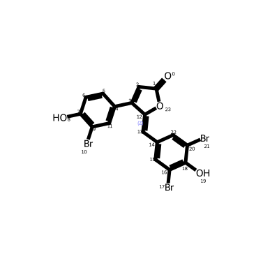 O=C1C=C(c2ccc(O)c(Br)c2)/C(=C/c2cc(Br)c(O)c(Br)c2)O1